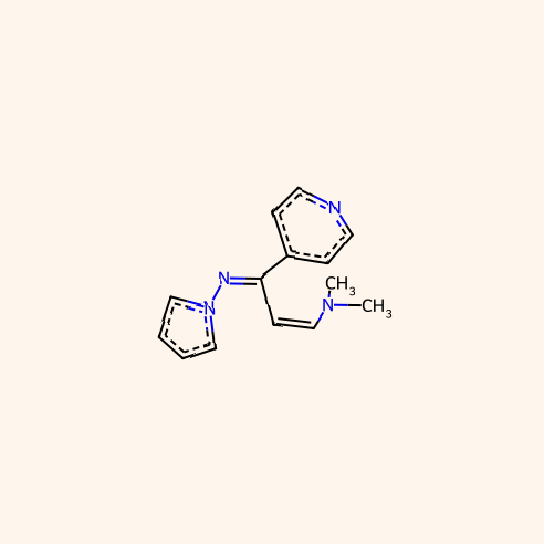 CN(C)/C=C\C(=N/n1cccc1)c1ccncc1